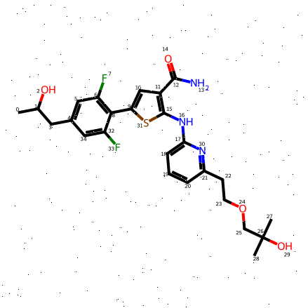 CC(O)Cc1cc(F)c(-c2cc(C(N)=O)c(Nc3cccc(CCOCC(C)(C)O)n3)s2)c(F)c1